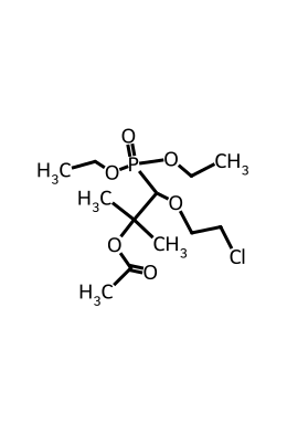 CCOP(=O)(OCC)C(OCCCl)C(C)(C)OC(C)=O